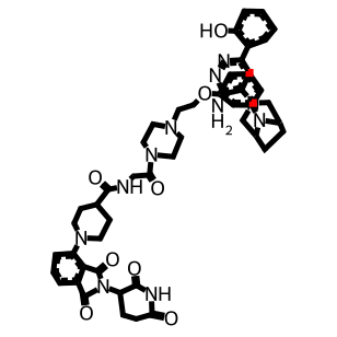 Nc1nnc(-c2ccccc2O)cc1N1CC2CCC(C1)N2c1cccc(OCCN2CCN(C(=O)CNC(=O)C3CCN(c4cccc5c4C(=O)N(C4CCC(=O)NC4=O)C5=O)CC3)CC2)c1